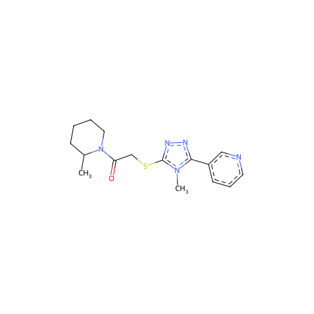 CC1CCCCN1C(=O)CSc1nnc(-c2cccnc2)n1C